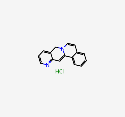 C1=CN2Cc3cccnc3C=C2c2ccccc21.Cl